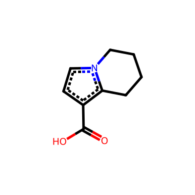 O=C(O)c1ccn2c1CCCC2